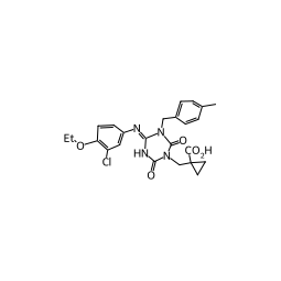 CCOc1ccc(/N=c2\[nH]c(=O)n(CC3(C(=O)O)CC3)c(=O)n2Cc2ccc(C)cc2)cc1Cl